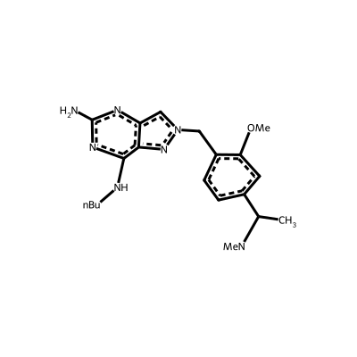 CCCCNc1nc(N)nc2cn(Cc3ccc(C(C)NC)cc3OC)nc12